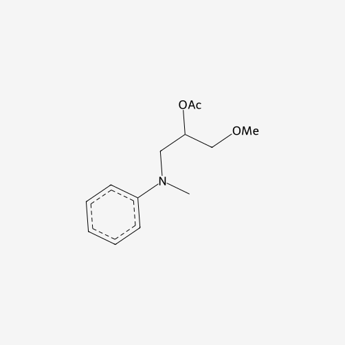 COCC(CN(C)c1ccccc1)OC(C)=O